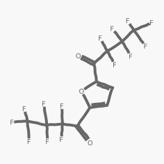 O=C(c1ccc(C(=O)C(F)(F)C(F)(F)C(F)(F)F)o1)C(F)(F)C(F)(F)C(F)(F)F